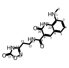 CNc1cccc2cc(C(=O)NCCc3noc(=O)[nH]3)c(=O)[nH]c12